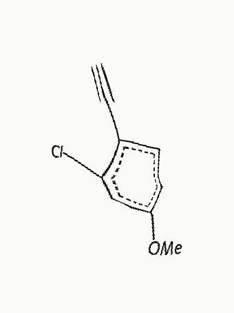 C#Cc1ccc(OC)cc1Cl